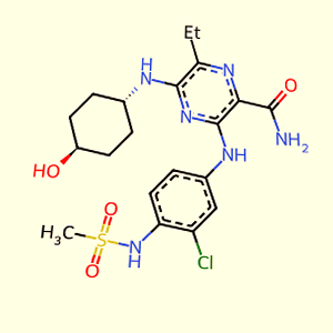 CCc1nc(C(N)=O)c(Nc2ccc(NS(C)(=O)=O)c(Cl)c2)nc1N[C@H]1CC[C@H](O)CC1